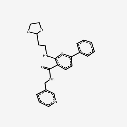 O=C(NCc1cccnc1)c1ccc(-c2ccccc2)nc1NCCC1OCCO1